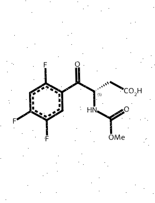 COC(=O)N[C@@H](CC(=O)O)C(=O)c1cc(F)c(F)cc1F